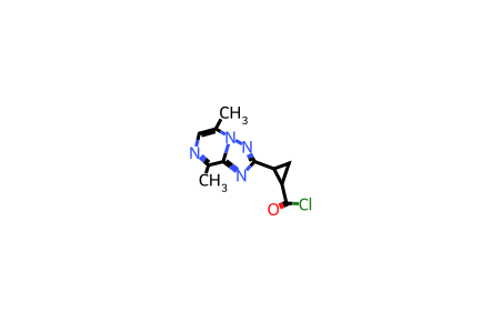 Cc1ncc(C)n2nc(C3CC3C(=O)Cl)nc12